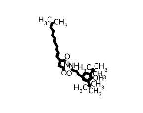 CC(C)CCCCCCCC=CC1CC(=O)N(NC(=O)CCc2cc(C(C)(C)C)c(O)c(C(C)(C)C)c2)C1=O